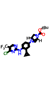 CC(C)(C)OC(=O)N1C[C@@H]2C[C@H]1CN2c1ccc(Nc2ncc(C(F)(F)F)c(Cl)n2)c(C2CC2)c1